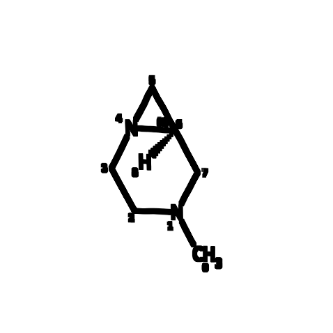 CN1CCN2C[C@H]2C1